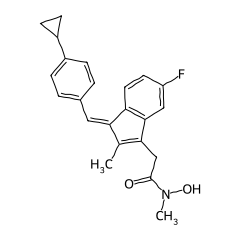 CC1=C(CC(=O)N(C)O)c2cc(F)ccc2/C1=C\c1ccc(C2CC2)cc1